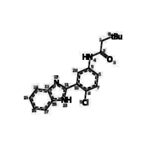 CC(C)(C)CC(=O)Nc1ccc(Cl)c(-c2nc3ccccc3[nH]2)c1